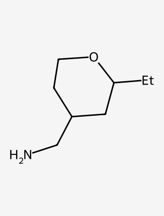 CCC1CC(CN)CCO1